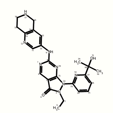 CCn1c(=O)c2cnc(Nc3cnc4c(c3)CNCC4)nc2n1-c1cccc(C(C)(C)O)n1